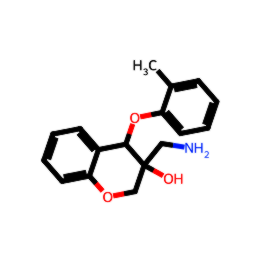 Cc1ccccc1OC1c2ccccc2OCC1(O)CN